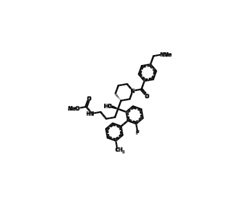 CNCc1ccc(C(=O)N2CCC[C@@H]([C@@](O)(CCCNC(=O)OC)c3cccc(F)c3-c3cccc(C)c3)C2)cc1